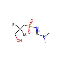 CCC(CC)(CO)CS(=O)(=O)/N=C/N(C)C